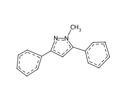 Cn1nc(-c2ccccc2)cc1-c1ccccc1